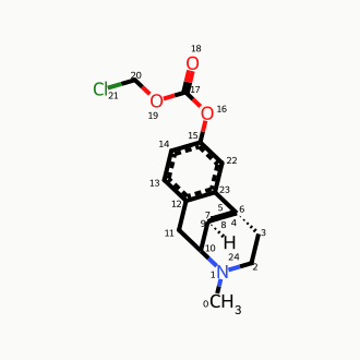 CN1CC[C@@]23CCCC[C@@H]2C1Cc1ccc(OC(=O)OCCl)cc13